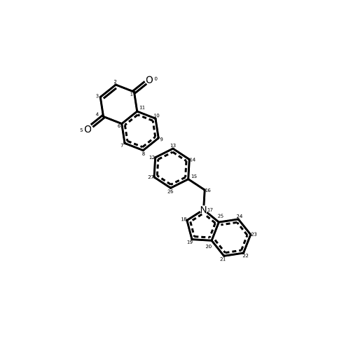 O=C1C=CC(=O)c2ccccc21.c1ccc(Cn2ccc3ccccc32)cc1